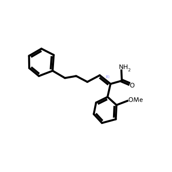 COc1ccccc1/C(=C\CCCc1ccccc1)C(N)=O